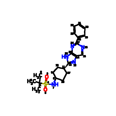 CC(C)(C)S(=O)(=O)N[C@H]1CC[C@H](c2nc3cnc(-c4ccccc4)nc3[nH]2)CC1